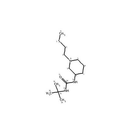 CSCCN1CCCC(NC(=O)NC(C)(C)C)C1